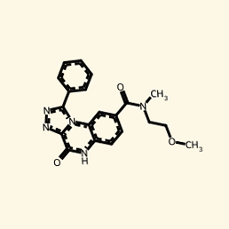 COCCN(C)C(=O)c1ccc2[nH]c(=O)c3nnc(-c4ccccc4)n3c2c1